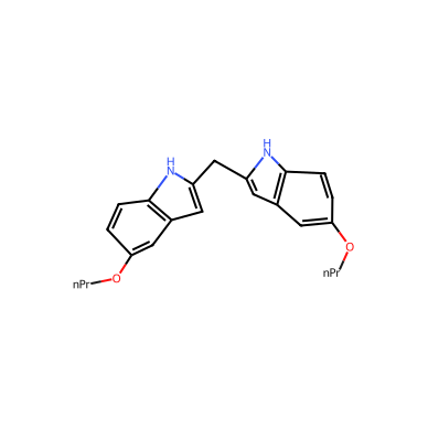 CCCOc1ccc2[nH]c(Cc3cc4cc(OCCC)ccc4[nH]3)cc2c1